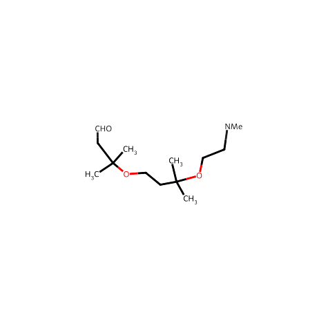 CNCCOC(C)(C)CCOC(C)(C)CC=O